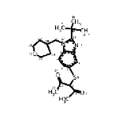 CC(=O)C(Sc1ccc2c(c1)nc(C(C)(C)C)n2CC1CCOCC1)C(C)=O